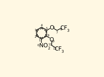 O=[N+]([O-])c1cccc(OCC(F)(F)F)c1OCC(F)(F)F